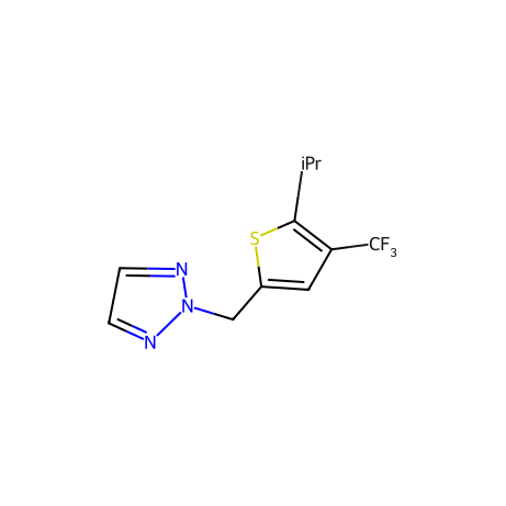 CC(C)c1sc(Cn2nccn2)cc1C(F)(F)F